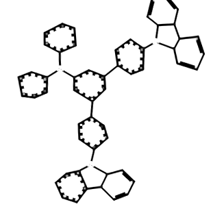 C1=CC2c3ccccc3N(c3ccc(-c4cc(-c5ccc(N6C7C=CC=CC7C7C=CC=CC76)cc5)cc(N(c5ccccc5)c5ccccc5)c4)cc3)C2C=C1